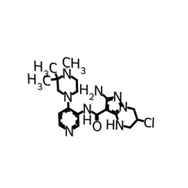 CN1CCN(c2ccncc2NC(=O)c2c(N)nn3c2NCC(Cl)C3)CC1(C)C